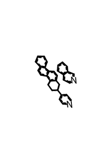 c1ccc2c(c1)ccc1c3c(ccc12)CC(c1ccncc1)CC3.c1ccc2cnccc2c1